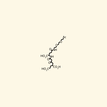 CC(=O)CCOCCOCCNC(=O)CCC(NC(=O)CC(=O)CC(CCC(=O)O)C(=O)O)C(=O)O